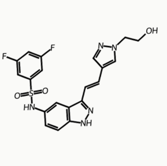 O=S(=O)(Nc1ccc2[nH]nc(/C=C/c3cnn(CCO)c3)c2c1)c1cc(F)cc(F)c1